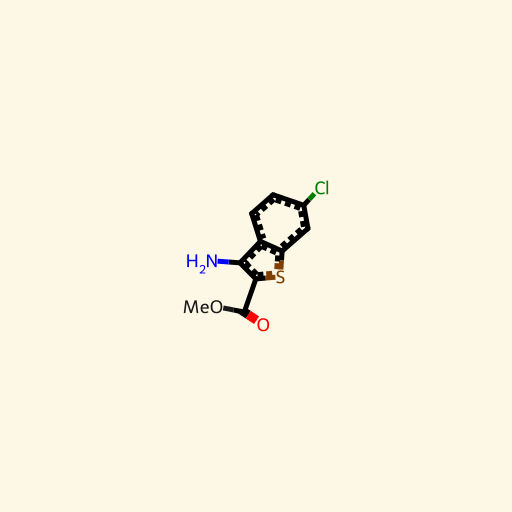 COC(=O)c1sc2cc(Cl)ccc2c1N